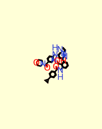 O=C(Nc1cccc(-c2cc(Nc3ccc(C(=O)N4CCOCC4)cn3)c3nccn3n2)c1CO)c1ccc(C2CC2)cc1